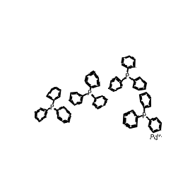 [Pd+].c1ccc(P(c2ccccc2)c2ccccc2)cc1.c1ccc(P(c2ccccc2)c2ccccc2)cc1.c1ccc(P(c2ccccc2)c2ccccc2)cc1.c1ccc(P(c2ccccc2)c2ccccc2)cc1